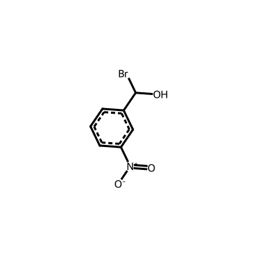 O=[N+]([O-])c1cccc(C(O)Br)c1